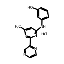 Cl.Oc1cccc(Nc2cc(C(F)(F)F)nc(-c3cnccn3)n2)c1